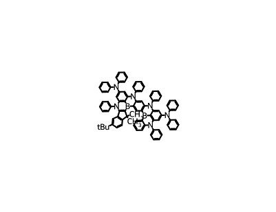 CC(C)(C)c1ccc2c(c1)C1=C(B3c4cc5c(cc4N(c4ccccc4)c4cc(N(c6ccccc6)c6ccccc6)cc(c43)N1c1ccccc1)N(c1ccccc1)c1cc(N(c3ccccc3)c3ccccc3)cc3c1B5c1ccccc1N3c1ccccc1)C2(C)C